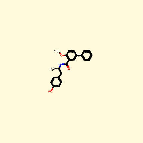 COc1ccc(-c2ccccc2)cc1C(=O)N[C@H](C)Cc1ccc(O)cc1